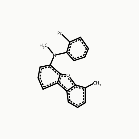 Cc1cccc2c1oc1c(N(C)c3ccccc3C(C)C)cccc12